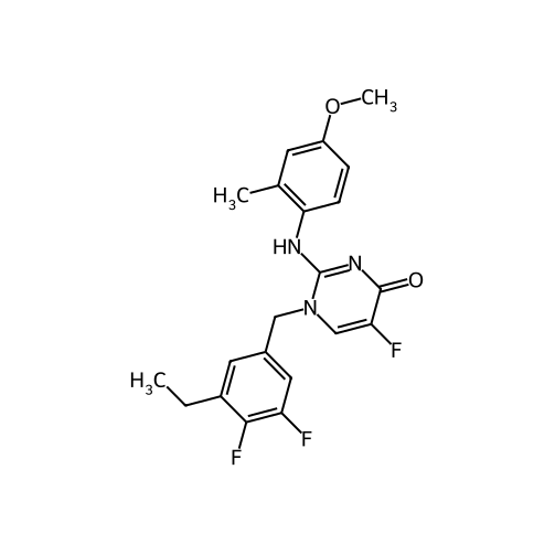 CCc1cc(Cn2cc(F)c(=O)nc2Nc2ccc(OC)cc2C)cc(F)c1F